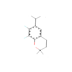 CC(C)c1cc2c(c(F)c1F)OC(C)(C)CC2